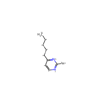 [2H]c1nccc(CCCCC)n1